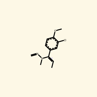 C=NN(C)/C(=C\C)c1ccc(OC)c(Cl)c1